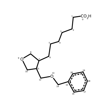 O=C(O)CCCCCCC1COCC1COCc1ccccc1